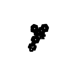 CCC(Cc1ccccc1)(C(=O)c1ccc(N2CCOCC2)cc1)N(C)c1ccccc1C